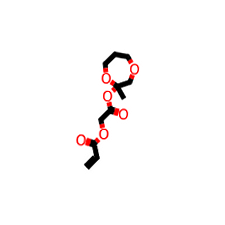 C=CC(=O)OCC(=O)OC1(C)COCCCO1